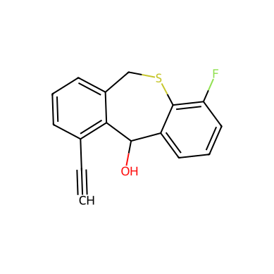 C#Cc1cccc2c1C(O)c1cccc(F)c1SC2